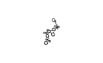 CN(c1ccc(-c2cnc3[nH]c4ccc(CS(=O)(=O)c5ccccc5)cc4c3c2-c2ccccc2)cc1)S(=O)(=O)CCCN1CCCCC1